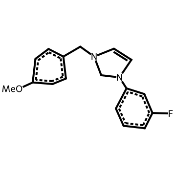 COc1ccc(CN2C=CN(c3cccc(F)c3)C2)cc1